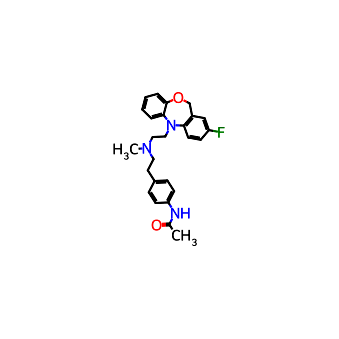 CC(=O)Nc1ccc(CCN(C)CCN2c3ccc(F)cc3COc3ccccc32)cc1